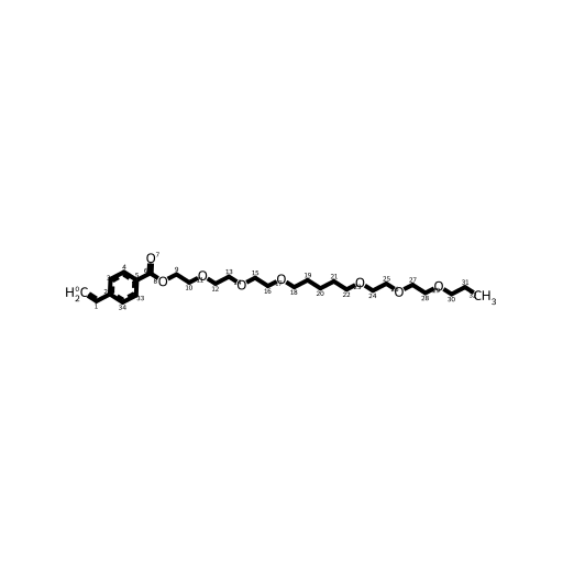 C=Cc1ccc(C(=O)OCCOCCOCCOCCCCCOCCOCCOCCC)cc1